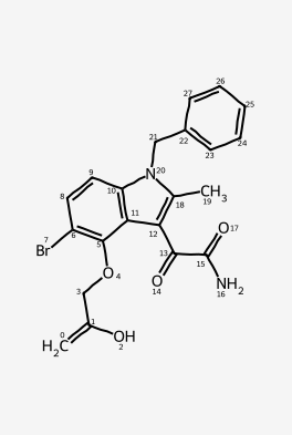 C=C(O)COc1c(Br)ccc2c1c(C(=O)C(N)=O)c(C)n2Cc1ccccc1